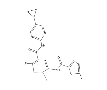 Cc1ncc(C(=O)Nc2cc(C(=O)Nc3ncc(C4CC4)cn3)c(F)cc2C)s1